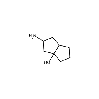 NC1CC2CCCC2(O)C1